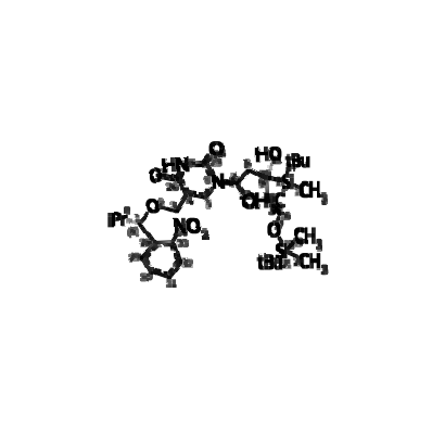 CC(C)[C@H](OCc1cn([C@H]2C[C@@](O)([Si](C)(C)C(C)(C)C)[C@@H](CO[Si](C)(C)C(C)(C)C)O2)c(=O)[nH]c1=O)c1ccccc1[N+](=O)[O-]